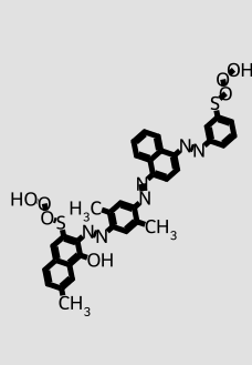 Cc1ccc2cc(SOOO)c(N=Nc3cc(C)c(N=Nc4ccc(N=Nc5cccc(SOOO)c5)c5ccccc45)cc3C)c(O)c2c1